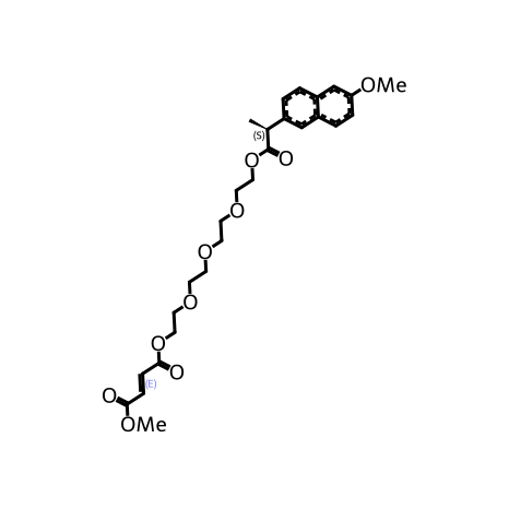 COC(=O)/C=C/C(=O)OCCOCCOCCOCCOC(=O)[C@@H](C)c1ccc2cc(OC)ccc2c1